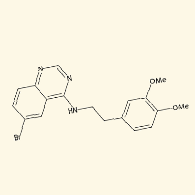 COc1ccc(CCNc2ncnc3ccc(Br)cc23)cc1OC